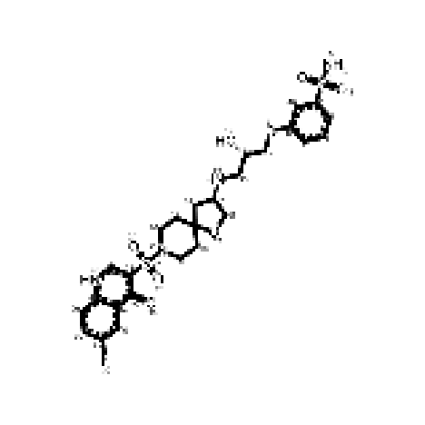 NS(=O)(=O)c1cccc(OC[C@@H](O)CN[C@H]2COC3(CCN(S(=O)(=O)c4c[nH]c5ccc(F)cc5c4=O)CC3)C2)c1